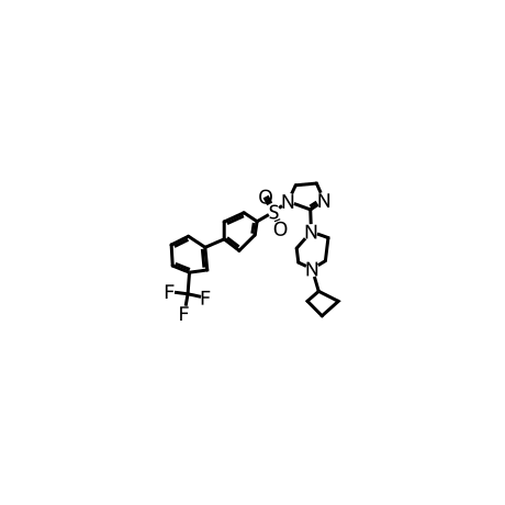 O=S(=O)(c1ccc(-c2cccc(C(F)(F)F)c2)cc1)N1CCN=C1N1CCN(C2CCC2)CC1